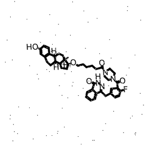 C[C@]12CC[C@@H]3c4ccc(O)cc4CC[C@H]3[C@@H]1CC[C@@H]2OCCCCCC(=O)N1CCN(C(=O)c2cc(Cc3n[nH]c(=O)c4ccccc34)ccc2F)CC1